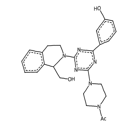 CC(=O)N1CCN(c2nc(-c3cccc(O)c3)nc(N3CCc4ccccc4C3CO)n2)CC1